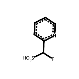 O=S(=O)(O)C(F)c1ccccn1